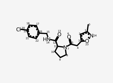 Cc1cc(CC(=O)N2CCCC2C(=O)NCc2ccc(Cl)cc2)on1